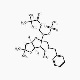 CO[C@H]1[C@H]2OC(C)(C)O[C@H]2O[C@@]1(COCc1ccccc1)C(COC(=O)C(C)(C)C)OS(C)(=O)=O